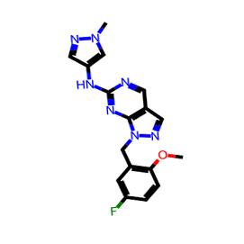 COc1ccc(F)cc1Cn1ncc2cnc(Nc3cnn(C)c3)nc21